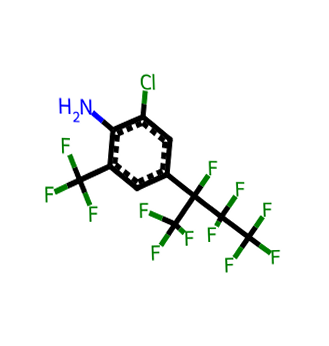 Nc1c(Cl)cc(C(F)(C(F)(F)F)C(F)(F)C(F)(F)F)cc1C(F)(F)F